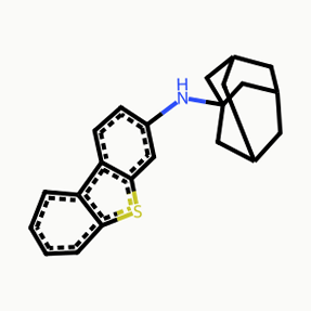 c1ccc2c(c1)sc1cc(NC34CC5CC(CC(C5)C3)C4)ccc12